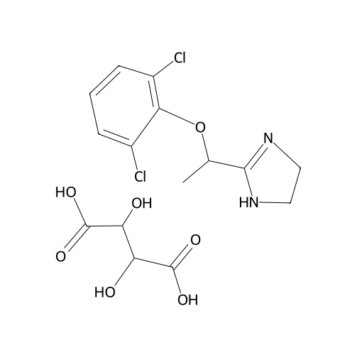 CC(Oc1c(Cl)cccc1Cl)C1=NCCN1.O=C(O)C(O)C(O)C(=O)O